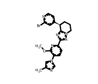 COc1nc(-c2nc3n(n2)CCC[C@@H]3c2ccnc(Br)c2)ccc1-n1cnc(C)c1